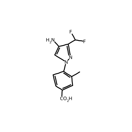 Cc1cc(C(=O)O)ccc1-n1cc(N)c(C(F)F)n1